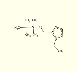 CCn1ccnc1CO[Si](C)(C)C(C)(C)C